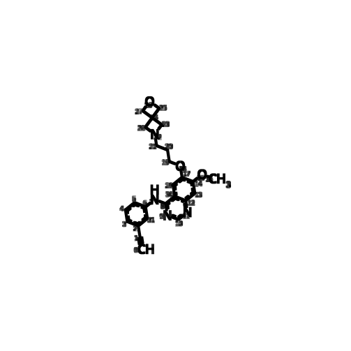 C#Cc1cccc(Nc2ncnc3cc(OC)c(OCCCN4CC5(COC5)C4)cc23)c1